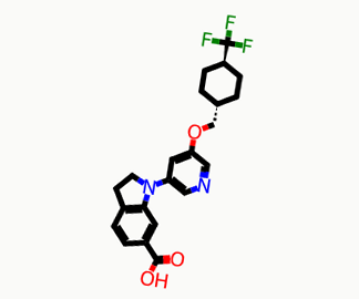 O=C(O)c1ccc2c(c1)N(c1cncc(OC[C@H]3CC[C@H](C(F)(F)F)CC3)c1)CC2